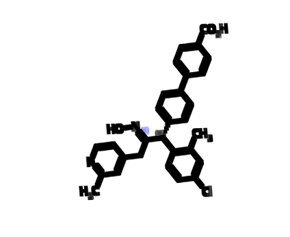 Cc1cc(C/C(=N\O)[C@H](c2ccc(-c3ccc(C(=O)O)cc3)cc2)c2ccc(Cl)cc2C)ccn1